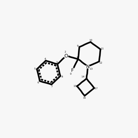 FC1(Oc2ccccc2)CCCCN1C1CCC1